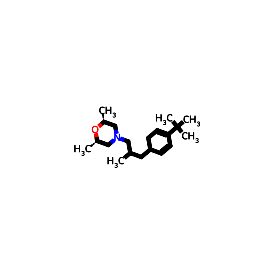 CC(CC1C=CC(C(C)(C)C)=CC1)CN1C[C@@H](C)O[C@@H](C)C1